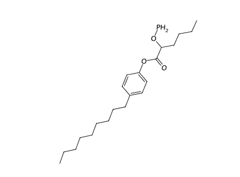 CCCCCCCCCc1ccc(OC(=O)C(CCCC)OP)cc1